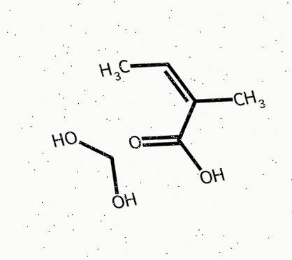 CC=C(C)C(=O)O.OCO